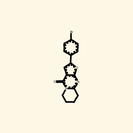 O=c1c2cc(-c3ccc(Br)cc3)oc2nc2n1CCCC2